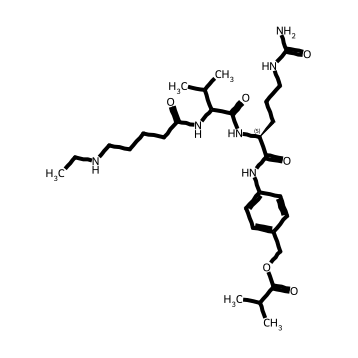 CCNCCCCC(=O)NC(C(=O)N[C@@H](CCCNC(N)=O)C(=O)Nc1ccc(COC(=O)C(C)C)cc1)C(C)C